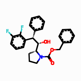 O=C(OCc1ccccc1)N1CCC[C@@H]1[C@@H](O)[C@@H](c1ccccc1)c1cccc(F)c1F